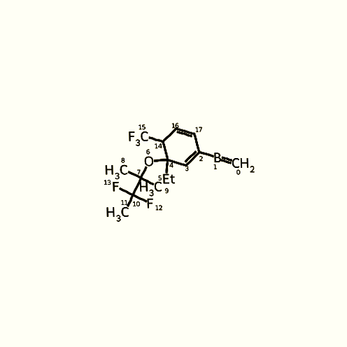 C=BC1=CC(CC)(OC(C)(C)C(C)(F)F)C(C(F)(F)F)C=C1